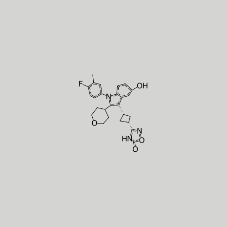 Cc1cc(-n2c(C3CCOCC3)c([C@H]3C[C@@H](c4noc(=O)[nH]4)C3)c3cc(O)ccc32)ccc1F